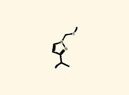 CSCn1ccc(C(C)C)n1